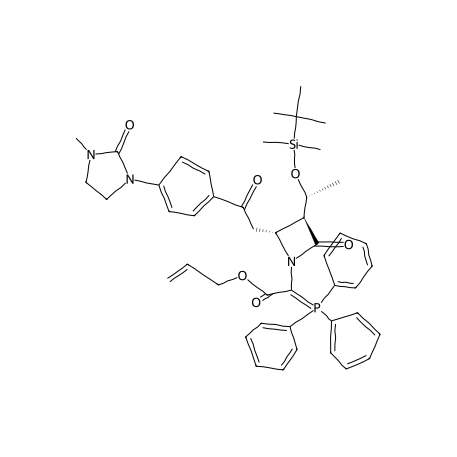 C=CCOC(=O)C(N1C(=O)[C@H]([C@@H](C)O[Si](C)(C)C(C)(C)C)[C@H]1CC(=O)c1ccc(N2CCN(C)C2=O)cc1)=P(c1ccccc1)(c1ccccc1)c1ccccc1